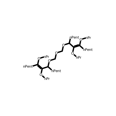 CCCCCC(OCCC)=C(OCCC)C(CCCCC)OCOCOC(CCCCC)C(OCCC)=C(CCCCC)OCCC